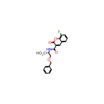 O=C(N[C@@H](COCc1ccccc1)C(=O)O)c1cc2cccc(F)c2oc1=O